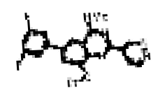 CCOc1cc(-c2cc(F)cc(F)c2)cc2c(NC)nc(-c3ccnnc3)nc12